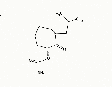 CC(C)CN1CCCC[C@@H](OC(N)=O)C1=O